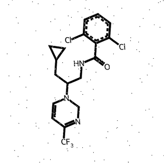 O=C(NCC(CC1CC1)N1C=CC(C(F)(F)F)=NC1)c1c(Cl)cccc1Cl